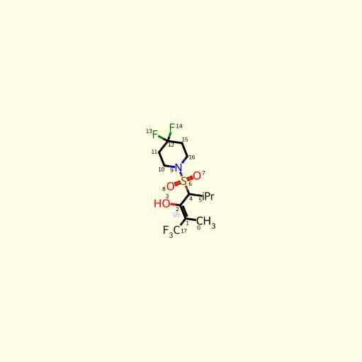 C/C(=C(/O)C(C(C)C)S(=O)(=O)N1CCC(F)(F)CC1)C(F)(F)F